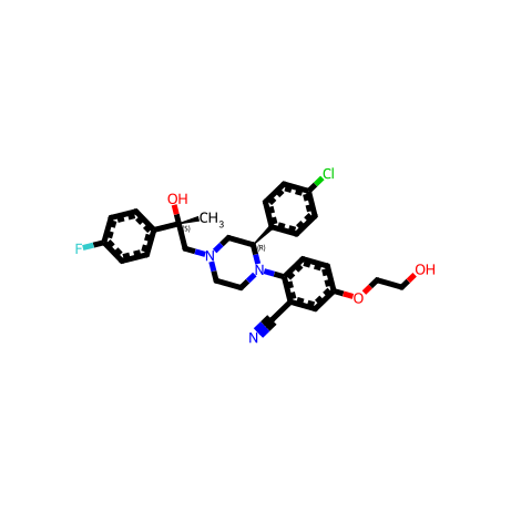 C[C@@](O)(CN1CCN(c2ccc(OCCO)cc2C#N)[C@H](c2ccc(Cl)cc2)C1)c1ccc(F)cc1